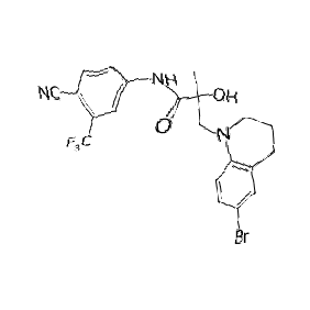 CC(O)(CN1CCCc2cc(Br)ccc21)C(=O)Nc1ccc(C#N)c(C(F)(F)F)c1